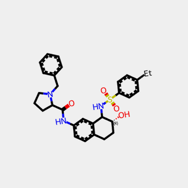 CCc1ccc(S(=O)(=O)NC2c3cc(NC(=O)C4CCCN4Cc4ccccc4)ccc3CC[C@H]2O)cc1